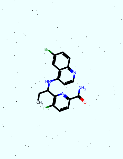 CCC(Nc1ccnc2ccc(Br)cc12)c1nc(C(N)=O)ccc1F